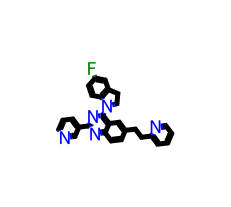 Fc1ccc2c(c1)CCN2c1nc(-c2cccnc2)nc2ccc(CCc3ccccn3)cc12